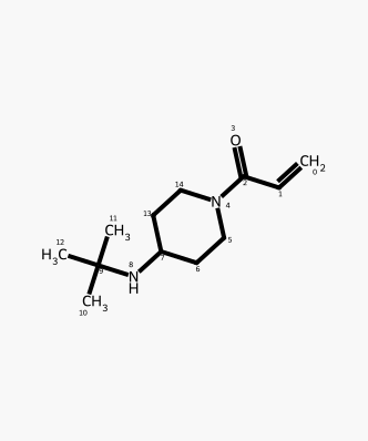 C=CC(=O)N1CCC(NC(C)(C)C)CC1